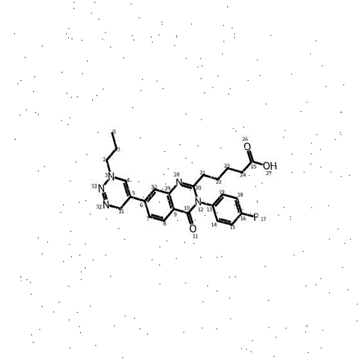 CCCN1C=C(c2ccc3c(=O)n(-c4ccc(F)cc4)c(CCCCC(=O)O)nc3c2)CN=N1